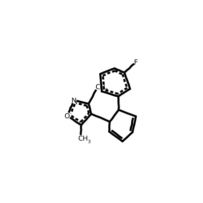 Cc1noc(C)c1C1C=CC=CC1c1cccc(F)c1